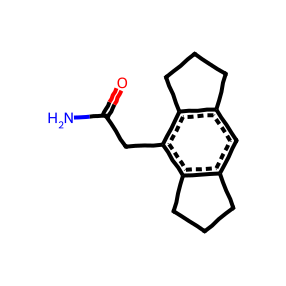 NC(=O)Cc1c2c(cc3c1CCC3)CCC2